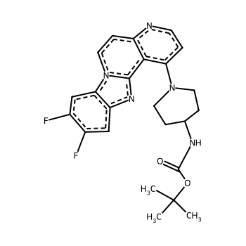 CC(C)(C)OC(=O)NC1CCN(c2ccnc3ccn4c5cc(F)c(F)cc5nc4c23)CC1